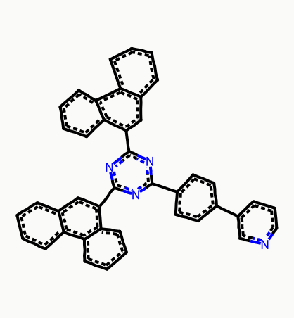 c1cncc(-c2ccc(-c3nc(-c4cc5ccccc5c5ccccc45)nc(-c4cc5ccccc5c5ccccc45)n3)cc2)c1